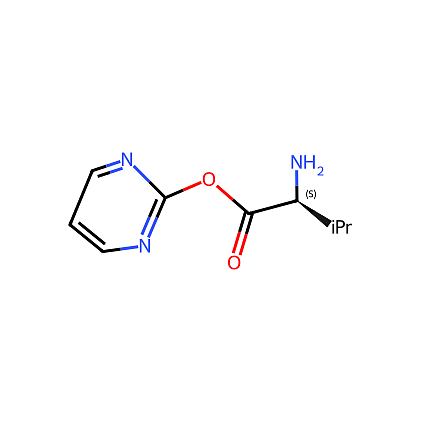 CC(C)[C@H](N)C(=O)Oc1ncccn1